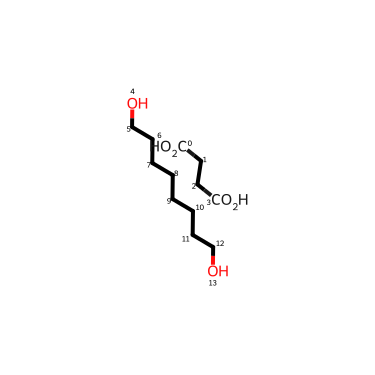 O=C(O)CCC(=O)O.OCCCCCCCCO